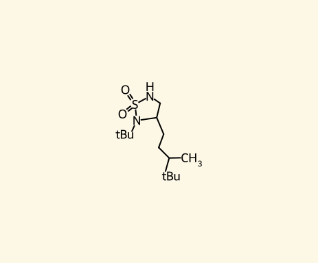 CC(CCC1CNS(=O)(=O)N1C(C)(C)C)C(C)(C)C